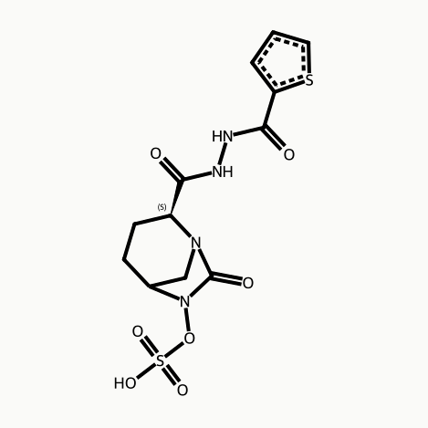 O=C(NNC(=O)[C@@H]1CCC2CN1C(=O)N2OS(=O)(=O)O)c1cccs1